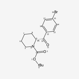 CC(C)(C)OC(=O)N1CCCC[C@@H]1C(=O)c1ccc(Br)cc1